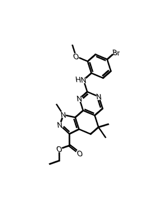 CCOC(=O)c1nn(C)c2c1CC(C)(C)c1cnc(Nc3ccc(Br)cc3OC)nc1-2